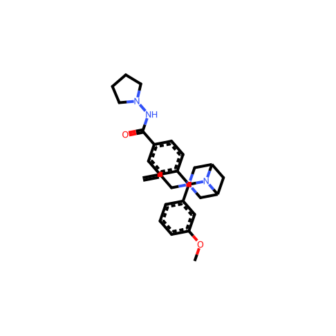 C=CCN1CC2CC(C1)N2C(c1ccc(C(=O)NN2CCCC2)cc1)c1cccc(OC)c1